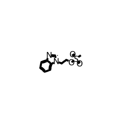 CS(=O)(=O)OCCn1[c]nc2ccccc21